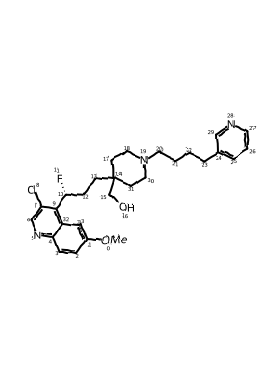 COc1ccc2ncc(Cl)c([C@H](F)CCC3(CO)CCN(CCCCc4cccnc4)CC3)c2c1